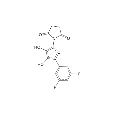 O=C1CCC(=O)N1c1oc(-c2cc(F)cc(F)c2)c(O)c1O